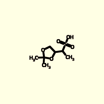 CC(C1COC(C)(C)O1)S(=O)(=O)O